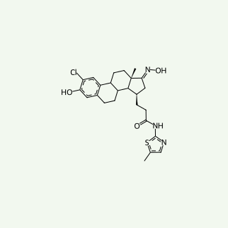 Cc1cnc(NC(=O)CC[C@@H]2C/C(=N\O)[C@@]3(C)CCC4c5cc(Cl)c(O)cc5CCC4C23)s1